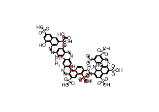 Cc1cc(/N=N\c2c(S(=O)(=O)O)cc3c(S(=O)(=O)O)c(N=Nc4cc(S(=O)(=O)O)c5cc(S(=O)(=O)O)c(/N=N\c6ccc([N+](=O)[O-])cc6S(=O)(=O)O)c(O)c5c4N)ccc3c2O)c(OCCCS(=O)(=O)O)cc1/N=N\c1cc(C)c(/N=N\c2cc(S(=O)(=O)O)cc3cc(S(=O)(=O)O)cc(O)c23)cc1OCC(=O)O